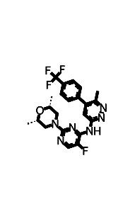 Cc1nnc(Nc2nc(N3C[C@@H](C)O[C@@H](C)C3)ncc2F)cc1-c1ccc(C(F)(F)F)cc1